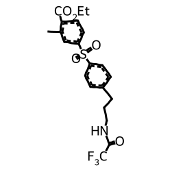 CCOC(=O)c1ccc(S(=O)(=O)c2ccc(CCCNC(=O)C(F)(F)F)cc2)cc1C